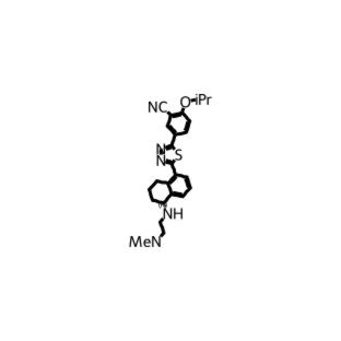 CNCCN[C@@H]1CCCc2c(-c3nnc(-c4ccc(OC(C)C)c(C#N)c4)s3)cccc21